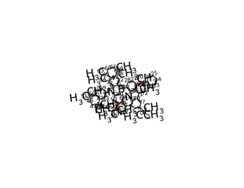 CC(C)(C)c1cc(-c2ccccc2)c(N2c3cc(C(C)(C)c4ccccc4)ccc3B3c4cc5c(cc4N(c4ccc6c(c4)C(C)(C)CCC6(C)C)c4cc(C(C)(C)C)cc2c43)C(C)(C)CCC5(C)C)c(-c2ccccc2)c1